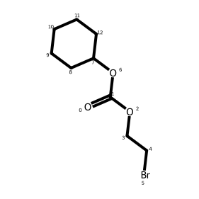 O=C(OCCBr)OC1CCCCC1